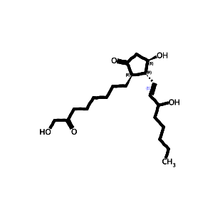 CCCCCC(O)/C=C/[C@H]1[C@H](O)CC(=O)[C@@H]1CCCCCCC(=O)CO